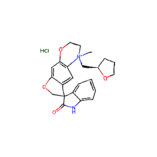 C[N+]1(C[C@H]2CCCO2)CCOc2cc3c(cc21)C1(CO3)C(=O)Nc2ccccc21.Cl